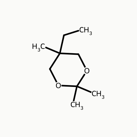 CCC1(C)COC(C)(C)OC1